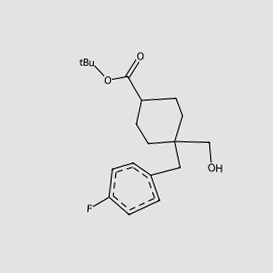 CC(C)(C)OC(=O)C1CCC(CO)(Cc2ccc(F)cc2)CC1